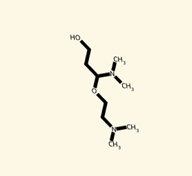 CN(C)CCOC(CCO)N(C)C